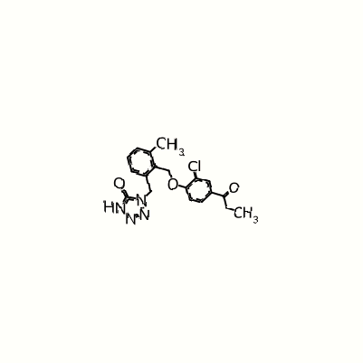 CCC(=O)c1ccc(OCc2c(C)cccc2Cn2nn[nH]c2=O)c(Cl)c1